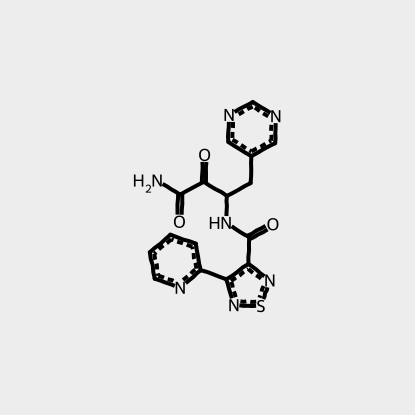 NC(=O)C(=O)C(Cc1cncnc1)NC(=O)c1nsnc1-c1ccccn1